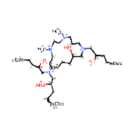 CCCCCCCCCCCCC(O)CN(CCCN(C)CCN(C)CCCN(CC(O)CCCCCCCCCCCC)CC(O)CCCCCCCCCCCC)CC(O)CCCCCCCCCCCC